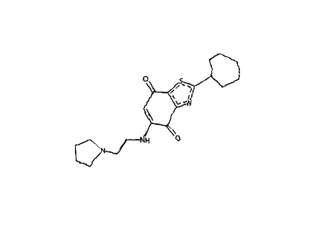 O=C1C(NCCN2CCCC2)=CC(=O)c2sc(C3CCCCC3)nc21